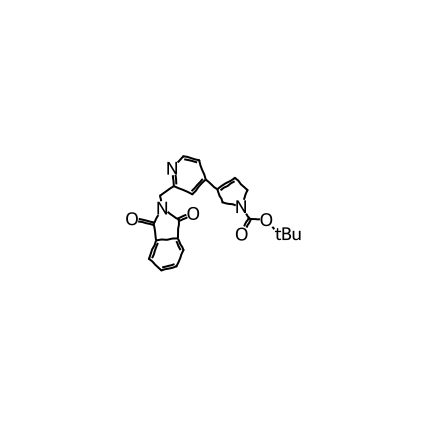 CC(C)(C)OC(=O)N1CC=C(c2ccnc(CN3C(=O)c4ccccc4C3=O)c2)C1